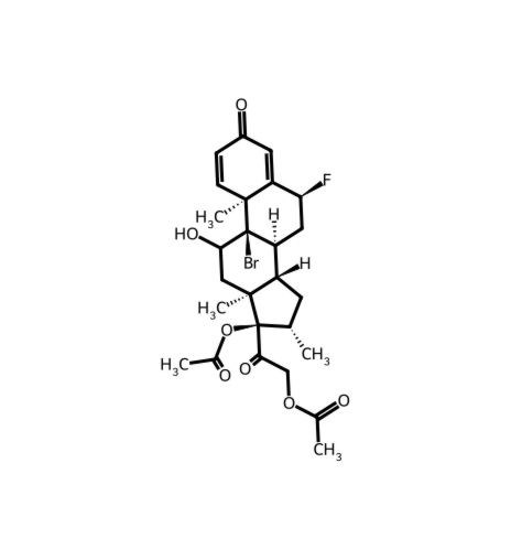 CC(=O)OCC(=O)[C@@]1(OC(C)=O)[C@@H](C)C[C@H]2[C@@H]3C[C@H](F)C4=CC(=O)C=C[C@]4(C)[C@@]3(Br)C(O)C[C@@]21C